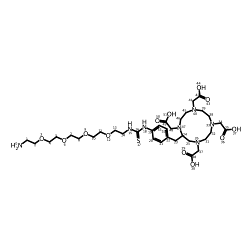 NCCOCCOCCOCCOCCNC(=S)Nc1ccc(CC2CN(CC(=O)O)CCN(CC(=O)O)CCN(CC(=O)O)CCN2CC(=O)O)cc1